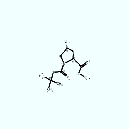 COC(=O)[C@@H]1C[C@@H](C)CN1C(=O)OC(C)(C)C